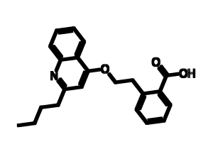 CCCCc1cc(OCCc2ccccc2C(=O)O)c2ccccc2n1